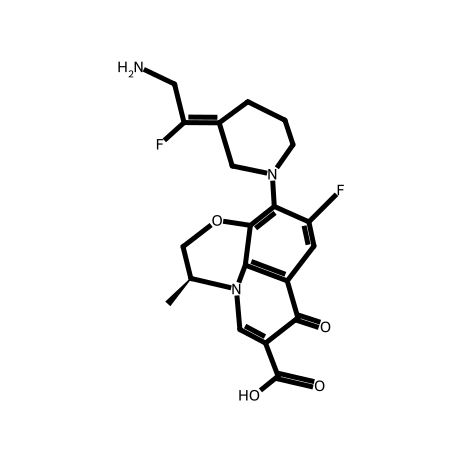 C[C@H]1COc2c(N3CCCC(=C(F)CN)C3)c(F)cc3c(=O)c(C(=O)O)cn1c23